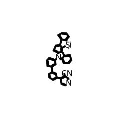 C[Si]1(C)c2ccccc2-c2ccc3c(c21)c1ccccc1n3-c1cccc(-c2cccc(-c3ccncc3C#N)c2)c1